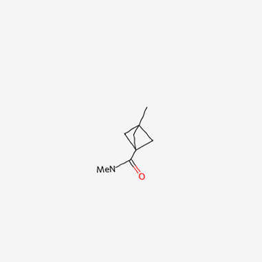 CNC(=O)C12CC(C)(C1)C2